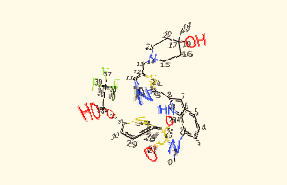 CN(c1cccc2cc(-c3ncc(CN4CCC(C)(O)CC4)s3)[nH]c12)S(=O)(=O)c1cccs1.O=C(O)C(F)(F)F